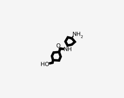 N[C@H]1CC[C@H](NC(=O)C2CCC(CO)CC2)CC1